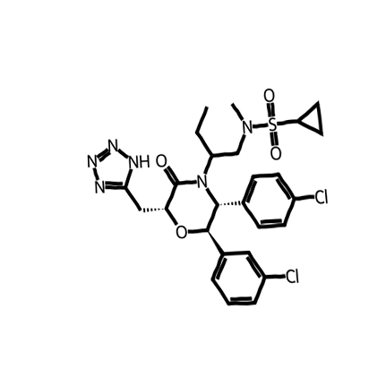 CCC(CN(C)S(=O)(=O)C1CC1)N1C(=O)[C@@H](Cc2nnn[nH]2)O[C@H](c2cccc(Cl)c2)[C@H]1c1ccc(Cl)cc1